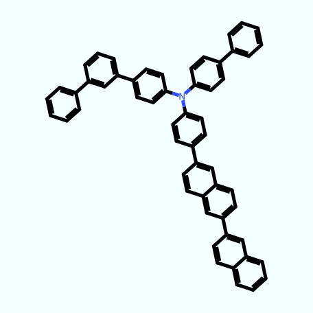 c1ccc(-c2ccc(N(c3ccc(-c4cccc(-c5ccccc5)c4)cc3)c3ccc(-c4ccc5cc(-c6ccc7ccccc7c6)ccc5c4)cc3)cc2)cc1